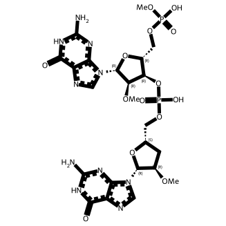 CO[C@@H]1[C@H](OP(=O)(O)OC[C@@H]2C[C@@H](OC)[C@H](n3cnc4c(=O)[nH]c(N)nc43)O2)[C@@H](COP(=O)(O)OC)O[C@H]1n1cnc2c(=O)[nH]c(N)nc21